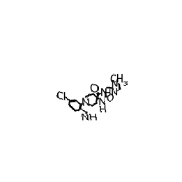 CN1C=CNC1CN1C(=O)NC2(CCN(c3cc(Cl)ccc3C=N)CC2)C1=O